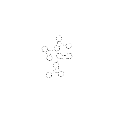 c1ccc(-n2c3ccccc3c3cc(-n4c5ccccc5c5ccc(-c6cc7c(cc6-c6cccc8c6sc6ccccc68)c6ccccc6n7-c6ccccc6)cc54)ccc32)cc1